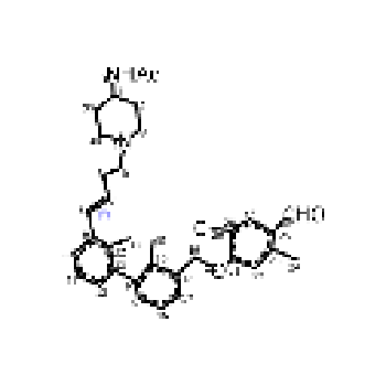 CC(=O)NC1CCN(CC/C=C/c2cccc(-c3cccc(COc4cc(C)c(C=O)cc4Cl)c3C)c2C)CC1